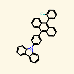 Fc1ccccc1-c1c2ccccc2c(-c2ccc(-n3c4ccccc4c4ccccc43)cc2)c2ccccc12